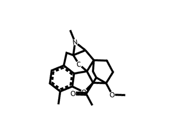 COC12CCC3(CC1C(C)=O)C1N(C)C14Cc1ccc(C)c5c1C3(C4)C2O5